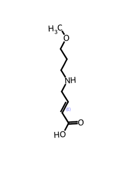 COCCCNC/C=C/C(=O)O